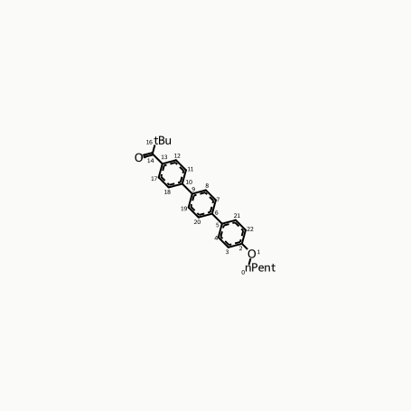 CCCCCOc1ccc(-c2ccc(-c3ccc(C(=O)C(C)(C)C)cc3)cc2)cc1